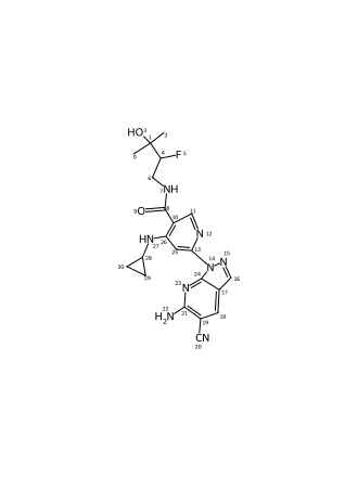 CC(C)(O)C(F)CNC(=O)c1cnc(-n2ncc3cc(C#N)c(N)nc32)cc1NC1CC1